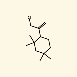 C=C(CCl)C1CCC(C)(C)CC1(C)C